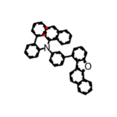 c1ccc(-c2ccccc2N(c2cccc(-c3cccc4oc5c6ccccc6ccc5c34)c2)c2cccc3ccccc23)cc1